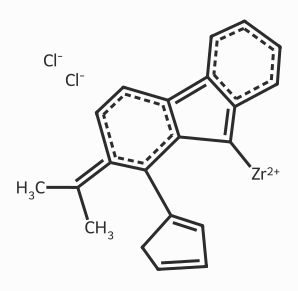 CC(C)=c1ccc2c(c1C1=CC=CC1)[C]([Zr+2])=c1ccccc1=2.[Cl-].[Cl-]